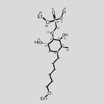 CCOCCCCCCN1C[C@H](O)[C@@H](OCP(=O)(OCC)OCC)[C@@H](O)[C@H]1C